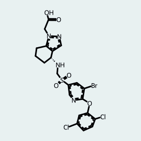 O=C(O)Cn1ncc2c1CCC[C@H]2NCS(=O)(=O)c1cnc(Oc2cc(Cl)ccc2Cl)c(Br)c1